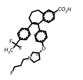 CC(F)(F)c1ccc(C2=C(c3ccc(O[C@H]4CCN(CCCF)C4)cc3)c3ccc(C(=O)O)cc3CCC2)cc1